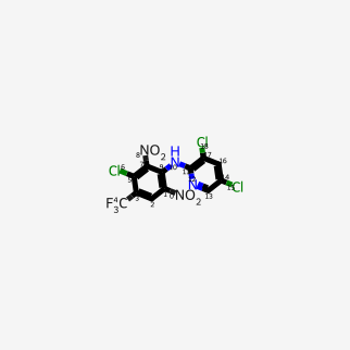 O=[N+]([O-])c1cc(C(F)(F)F)c(Cl)c([N+](=O)[O-])c1Nc1ncc(Cl)cc1Cl